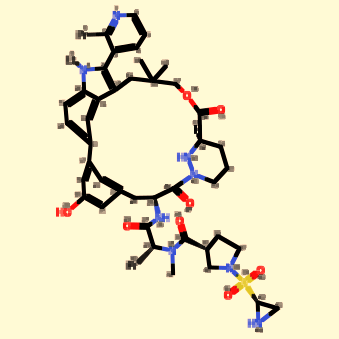 CCn1c(-c2cccnc2C(C)C)c2c3cc(ccc31)-c1cc(O)cc(c1)C[C@H](NC(=O)[C@H](C(C)C)N(C)C(=O)[C@H]1CCN(S(=O)(=O)[C@H]3CN3)C1)C(=O)N1CCC[C@H](N1)C(=O)OCC(C)(C)C2